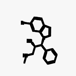 CNC[C@@H](O)[C@H](c1ccccc1)n1ccc2ccc(Br)cc21